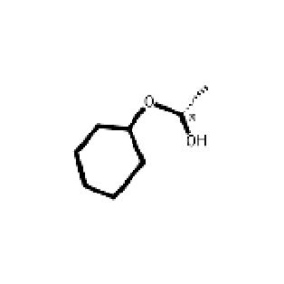 C[C@H](O)OC1CCCCC1